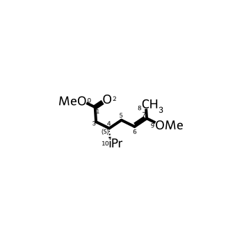 COC(=O)C[C@H](CC=C(C)OC)C(C)C